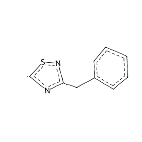 [c]1nc(Cc2ccccc2)ns1